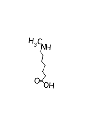 CNCCCCCCC(=O)O